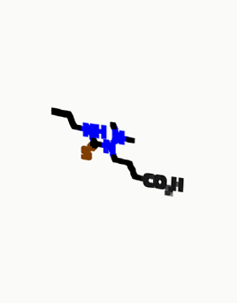 C=CCNC(=S)N(CCCC(=O)O)N(C)C